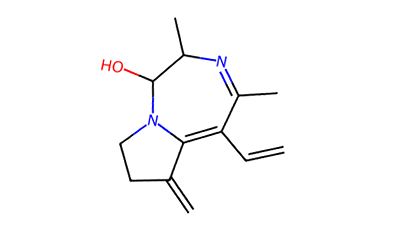 C=CC1=C2C(=C)CCN2C(O)C(C)N=C1C